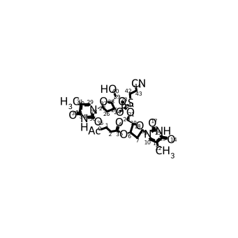 CC(=O)CCC(=O)O[C@@H]1C[C@H](n2cc(C)c(=O)[nH]c2=O)O[C@@H]1COP(=O)(O[C@@H]1C[C@H](n2cc(C)c(=O)[nH]c2=O)O[C@@H]1CO)SCCC#N